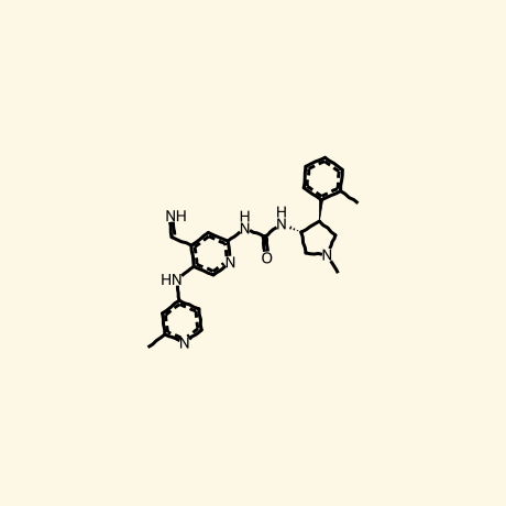 Cc1cc(Nc2cnc(NC(=O)N[C@H]3CN(C)C[C@@H]3c3ccccc3C)cc2C=N)ccn1